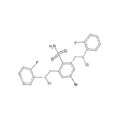 NS(=O)(=O)c1c(CC(Cl)c2ccccc2F)cc(Br)cc1CC(Cl)c1ccccc1F